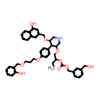 CCC(COC1CNCC(OCc2cc(O)c3ccccc3c2)C1c1ccc(OCCCOCc2ccccc2O)cc1)OC(=O)OCc1cccc(CO)c1